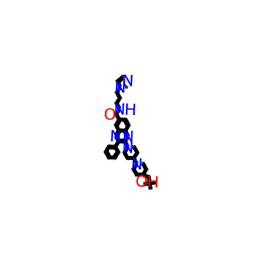 CC(C)(C)CC1(O)CCN(C2CCN(c3nc4ccc(C(=O)NCCCn5ccnc5)cc4nc3-c3ccccc3)CC2)CC1